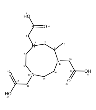 CC1CN(CC(=O)O)CCN(CC(=O)O)CCN1CC(=O)O